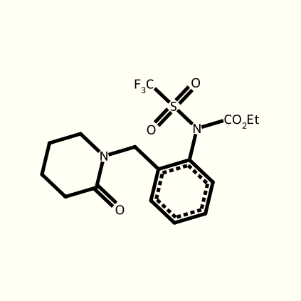 CCOC(=O)N(c1ccccc1CN1CCCCC1=O)S(=O)(=O)C(F)(F)F